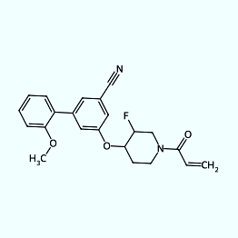 C=CC(=O)N1CCC(Oc2cc(C#N)cc(-c3ccccc3OC)c2)C(F)C1